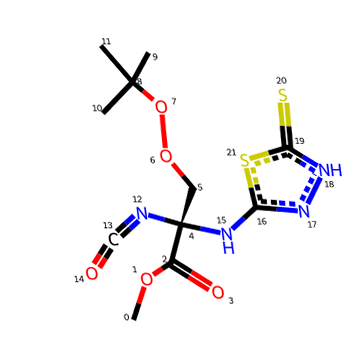 COC(=O)[C@](COOC(C)(C)C)(N=C=O)Nc1n[nH]c(=S)s1